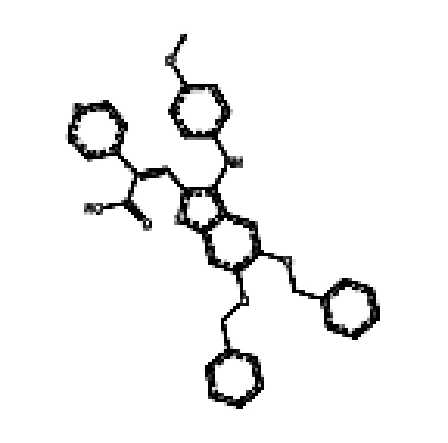 COc1ccc(Nc2c(C=C(C(=O)O)c3ccncc3)sc3cc(OCc4ccccc4)c(OCc4ccccc4)cc23)cc1